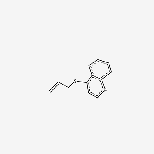 C=CCSc1ccnc2ccccc12